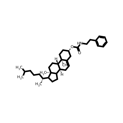 CC(C)CCC[C@@H](C)C1CCC2[C@@H]3CC=C4C[C@@H](OC(=O)NCCc5ccccc5)CC[C@]4(C)[C@H]3CC[C@]12C